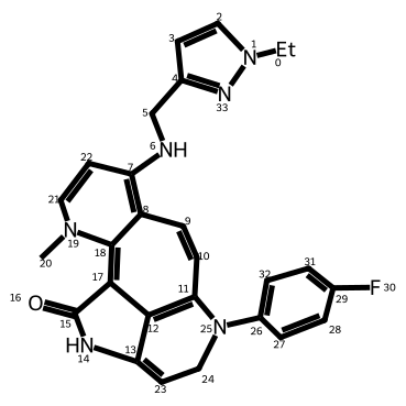 CCn1ccc(CNC2=c3ccc4c5c([nH]c(=O)c-5c3N(C)C=C2)=CCN4c2ccc(F)cc2)n1